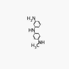 CNc1ccc(Nc2cccc(N)c2)cc1